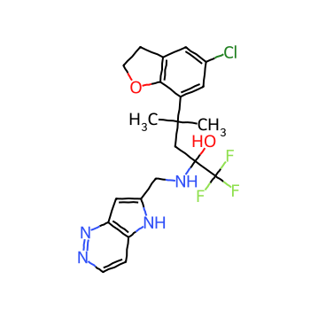 CC(C)(CC(O)(NCc1cc2nnccc2[nH]1)C(F)(F)F)c1cc(Cl)cc2c1OCC2